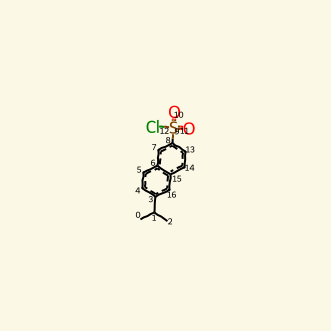 CC(C)c1ccc2cc(S(=O)(=O)Cl)ccc2c1